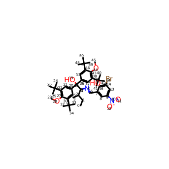 CCC(C)C(N=Cc1cc([N+](=O)[O-])cc(Br)c1O)C(O)(c1cc(C(C)(C)C)c(OC)c(C(C)(C)C)c1)c1cc(C(C)(C)C)c(OC)c(C(C)(C)C)c1